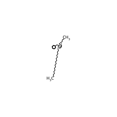 CCCCCCCCCCCCCCCCCCCN1C=CN(CCCCC)C1Cc1ccccc1